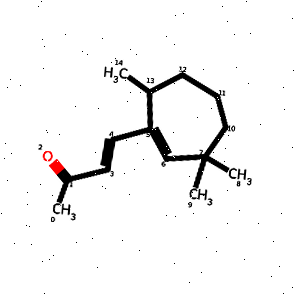 CC(=O)C=CC1=CC(C)(C)CCCC1C